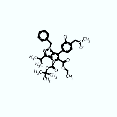 CCOC(=O)c1c(-c2ccc(C[S+](C)[O-])c(Cl)c2)c2c(c(C(C)C)nn2Cc2ccccc2)n1C(=O)OC(C)(C)C